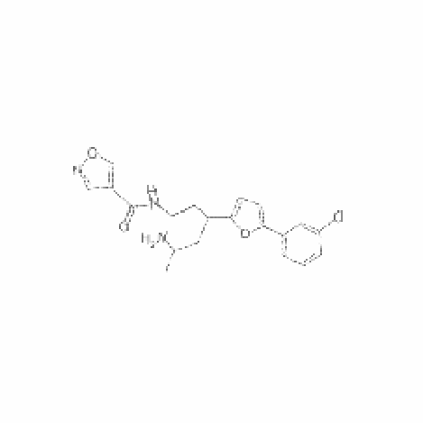 CC(N)CC(CCNC(=O)c1cnoc1)c1ccc(-c2cccc(Cl)c2)o1